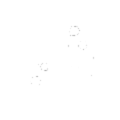 OCC1O[C@@H](S[C@@H]2O[C@H](CO)C(O)C(n3cc(-c4ncccn4)nn3)[C@H]2O)[C@@H](O)C(n2cc(-c3cc(F)c(F)c(F)c3)nn2)[C@H]1O